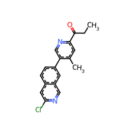 CCC(=O)c1cc(C)c(-c2ccc3cc(Cl)ncc3c2)cn1